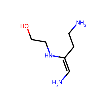 NC=C(CCN)NCCO